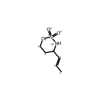 CC=CC1CCOS(=O)(=O)N1